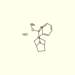 CC(C)(C)OC(=O)N1CC2CCC(C1)N2Cc1ccccc1.Cl